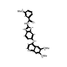 COc1cccc(C(=O)Nc2nc3ccc(Oc4ccnc5cc(OC)c(OC)cc45)cc3s2)c1